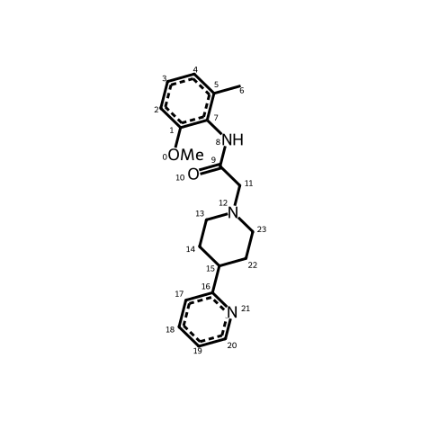 COc1cccc(C)c1NC(=O)CN1CCC(c2ccccn2)CC1